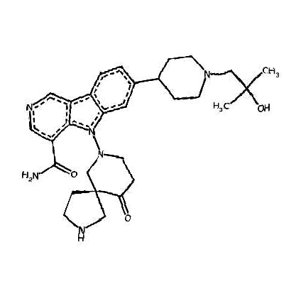 CC(C)(O)CN1CCC(c2ccc3c4cncc(C(N)=O)c4n(N4CCC(=O)[C@@]5(CCNC5)C4)c3c2)CC1